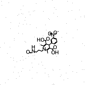 CC1=C(C(=O)O)C(c2cccc([N+](=O)[O-])c2)C(C(=O)O)=C(C)N1CCCNC=O